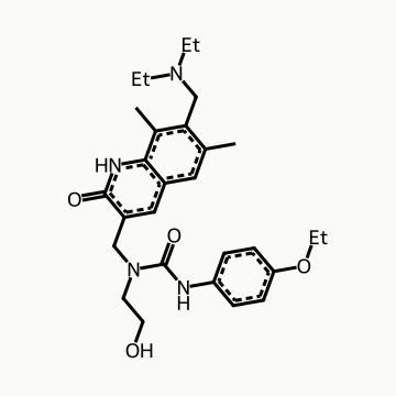 CCOc1ccc(NC(=O)N(CCO)Cc2cc3cc(C)c(CN(CC)CC)c(C)c3[nH]c2=O)cc1